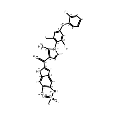 Cc1cc(Oc2ccccc2F)cc(F)c1-n1ncc(C(=O)c2cc3cc(NS(C)(=O)=O)c(Cl)cc3[nH]2)c1N